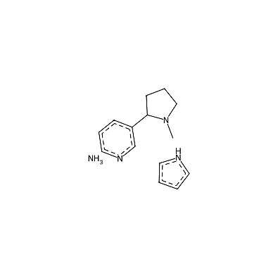 CN1CCCC1c1cccnc1.N.c1cc[nH]c1